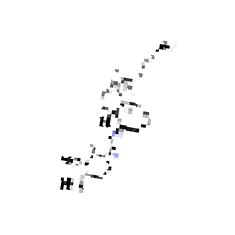 C=C1[C](O)C(O)CC/C1=C/C=C1\CCC[C@]2(C)[C@@H]([C@H](C)CCCC(C)C)CC[C@@H]12